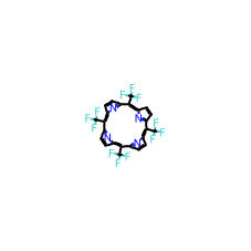 FC(F)(F)C1=C2C=CC(=N2)C(C(F)(F)F)=C2C=CC(=N2)C(C(F)(F)F)=C2C=CC(=N2)C(C(F)(F)F)=C2C=CC1=N2